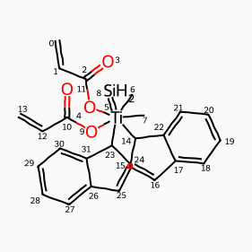 C=CC(=O)[O][Ti]([CH3])([CH3])(=[SiH2])([O]C(=O)C=C)([CH]1C=Cc2ccccc21)[CH]1C=Cc2ccccc21